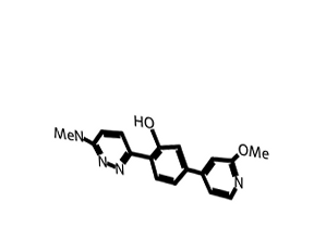 CNc1ccc(-c2ccc(-c3ccnc(OC)c3)cc2O)nn1